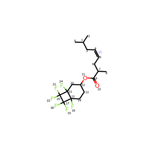 CC(C)C/C=C\CC(C)C(=O)OC1CCC2(F)C(F)(F)C(F)(F)C2(F)C1